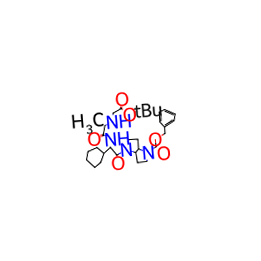 CC(NCC(=O)OC(C)(C)C)C(=O)NC(C(=O)N1CCC2C1CCN2C(=O)OCc1ccccc1)C1CCCCC1